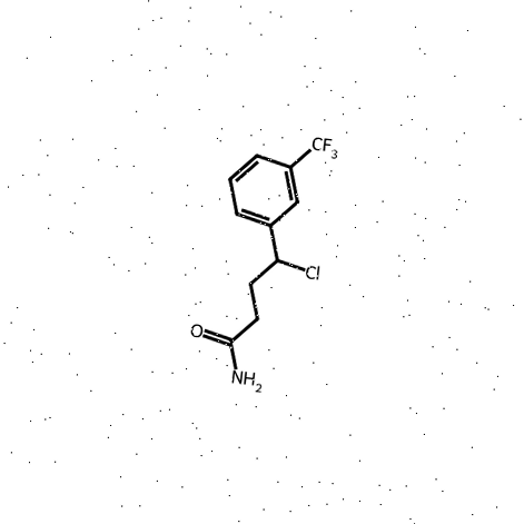 NC(=O)CCC(Cl)c1cccc(C(F)(F)F)c1